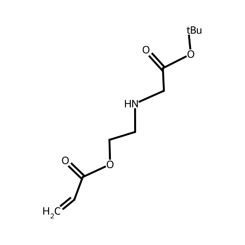 C=CC(=O)OCCNCC(=O)OC(C)(C)C